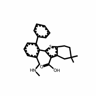 CNCc1cccc(-c2ccccc2)c1-c1sc2c(c1C(=O)O)CC(C)(C)CC2